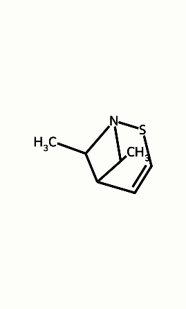 CC1C2C=CSN1C2C